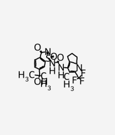 Cc1c(C(F)(F)F)nc2c(c1NC(=O)NS1(=O)=NC(=O)c3ccc(C(C)(C)O)cc31)CCC2